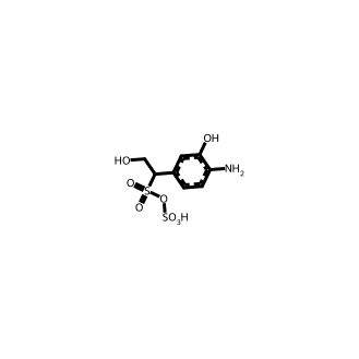 Nc1ccc(C(CO)S(=O)(=O)OS(=O)(=O)O)cc1O